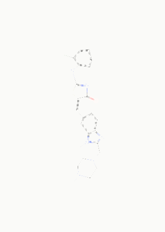 CN1CCN(Cc2nc3ccc(C=C4SC(Nc5ccccc5Cl)=NC4=O)cc3n2C)CC1